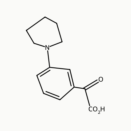 O=C(O)C(=O)c1cccc(N2CCCCC2)c1